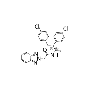 C[C@@H](NC(=O)Cn1nc2ccccc2n1)[C@H](Cc1ccc(Cl)cc1)c1ccc(Cl)cc1